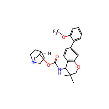 CC1(C)COc2cc(-c3ccccc3OC(F)(F)F)ccc2C1NC(=O)O[C@H]1CN2CCC1CC2